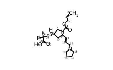 C=CCOC(=O)N1CC(S)CC1C=CCN1CCCC1.O=C(O)C(F)(F)F